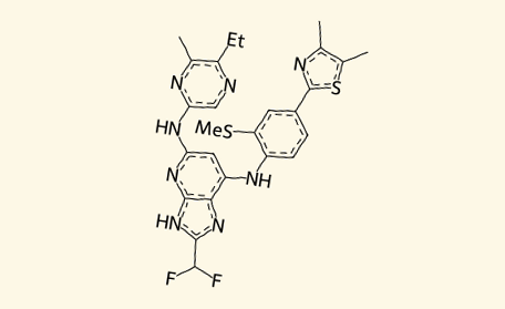 CCc1ncc(Nc2cc(Nc3ccc(-c4nc(C)c(C)s4)cc3SC)c3nc(C(F)F)[nH]c3n2)nc1C